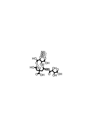 N.N.N.O=C(O)C(O)C(O)C(=O)O.O=C(O)C(O)C(O)C(=O)O.O=C(O)CC(O)(CC(=O)O)C(=O)O